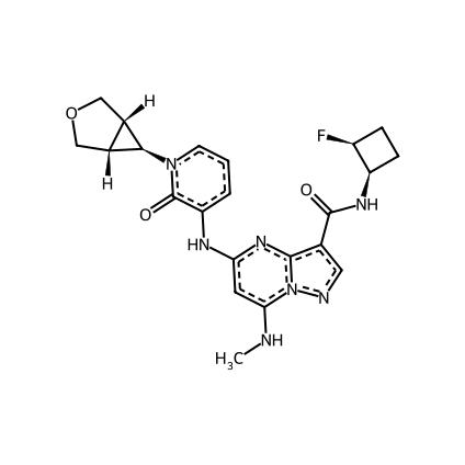 CNc1cc(Nc2cccn([C@H]3[C@@H]4COC[C@@H]43)c2=O)nc2c(C(=O)N[C@@H]3CC[C@@H]3F)cnn12